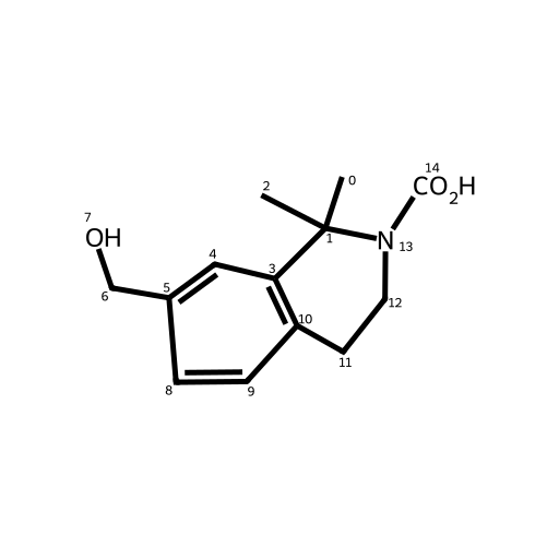 CC1(C)c2cc(CO)ccc2CCN1C(=O)O